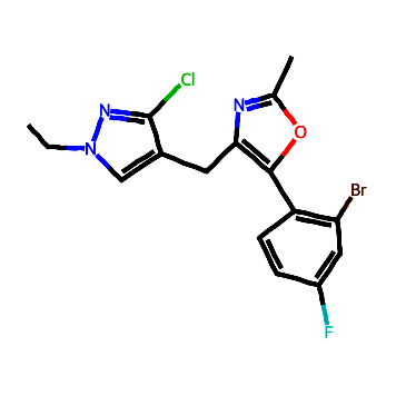 CCn1cc(Cc2nc(C)oc2-c2ccc(F)cc2Br)c(Cl)n1